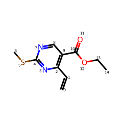 C=Cc1nc(SC)ncc1C(=O)OCC